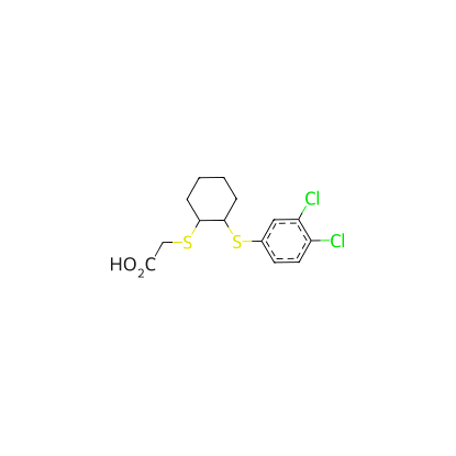 O=C(O)CSC1CCCCC1Sc1ccc(Cl)c(Cl)c1